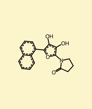 O=C1CCCN1c1oc(-c2cccc3ccccc23)c(O)c1O